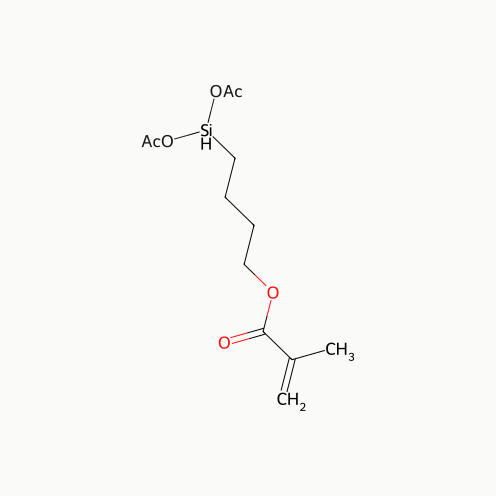 C=C(C)C(=O)OCCCC[SiH](OC(C)=O)OC(C)=O